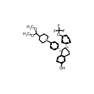 COC(OC)C1CCN(c2ccc([C@H]3c4ccc(O)cc4CC[C@H]3c3cccc(OC(F)(F)F)c3)cc2)CC1